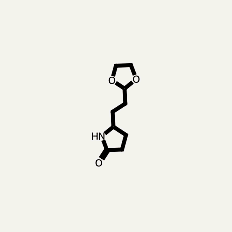 O=C1CCC(CCC2OCCO2)N1